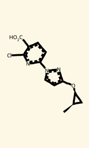 C[C@@H]1C[C@@H]1Oc1ccn(-c2ccc(C(=O)O)c(Cl)n2)n1